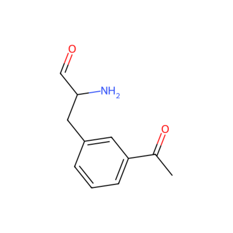 CC(=O)c1cccc(CC(N)C=O)c1